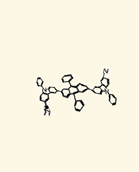 N#Cc1ccc2c(c1)c1cc(-c3ccc4c(-c5ccccc5)c5cc(-c6ccc7c(c6)c6cc(C#N)ccc6n7-c6ccccc6)ccc5c(-c5ccccc5)c4c3)ccc1n2-c1ccccc1